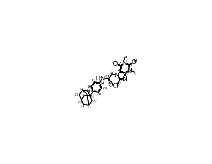 Cn1c(=O)c2c(nc(Cl)n2CC(=O)Nc2ccc(C34CC5CC(CC(C5)C3)C4)cc2)n(C)c1=O